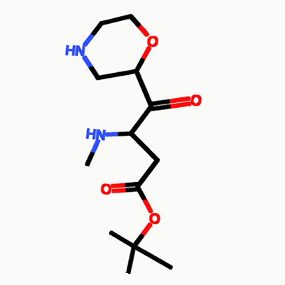 CNC(CC(=O)OC(C)(C)C)C(=O)C1CNCCO1